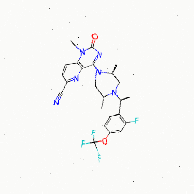 CC1CN(c2nc(=O)n(C)c3ccc(C#N)nc23)[C@@H](C)CN1C(C)c1ccc(OC(F)(F)F)cc1F